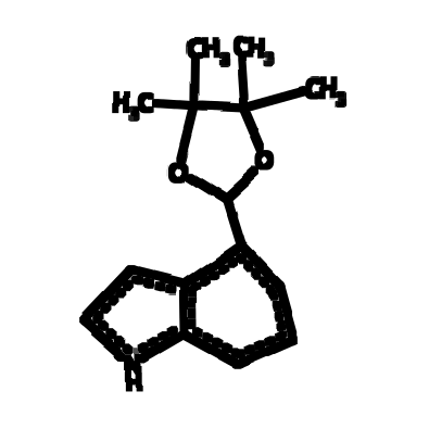 CC1(C)OC(c2cccc3[nH]ccc23)OC1(C)C